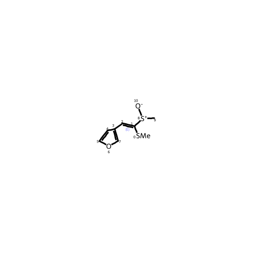 CS/C(=C\c1ccoc1)[S+](C)[O-]